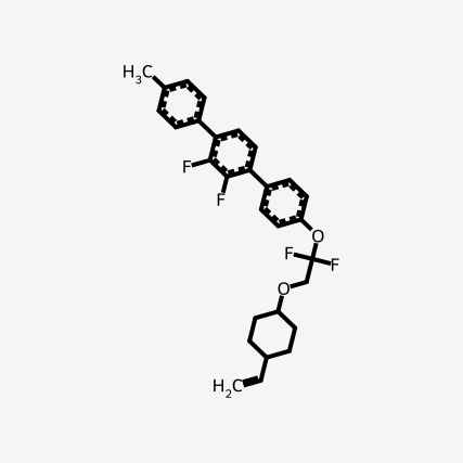 C=CC1CCC(OCC(F)(F)Oc2ccc(-c3ccc(-c4ccc(C)cc4)c(F)c3F)cc2)CC1